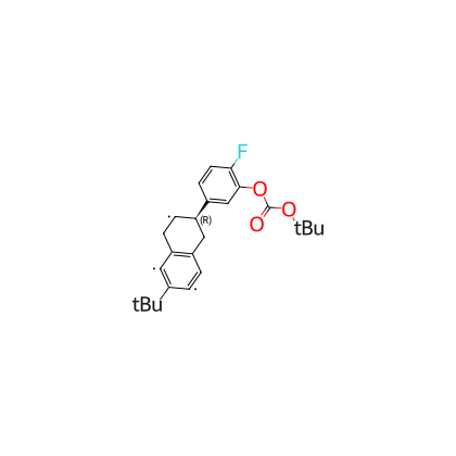 CC(C)(C)OC(=O)Oc1cc([C@@H]2[CH]Cc3[c]c(C(C)(C)C)[c]cc3C2)ccc1F